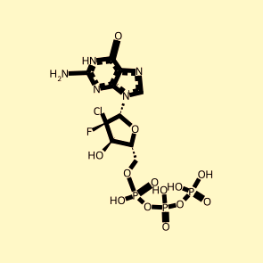 Nc1nc2c(ncn2[C@@H]2O[C@H](COP(=O)(O)OP(=O)(O)OP(=O)(O)O)[C@@H](O)[C@]2(F)Cl)c(=O)[nH]1